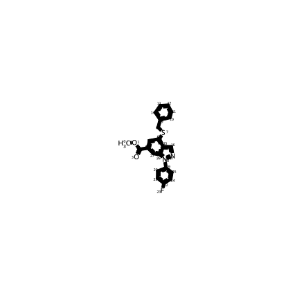 COC(=O)c1cc(SCc2ccccc2)c2cnn(-c3ccc(F)cc3)c2c1